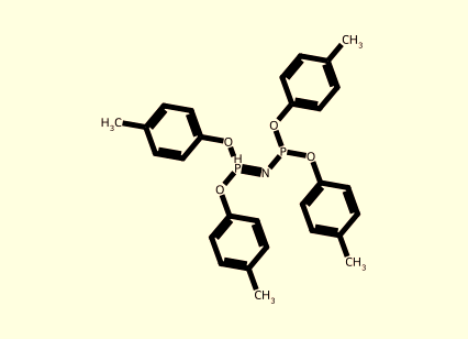 Cc1ccc(OP(N=[PH](Oc2ccc(C)cc2)Oc2ccc(C)cc2)Oc2ccc(C)cc2)cc1